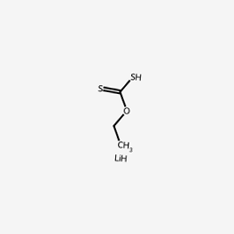 CCOC(=S)S.[LiH]